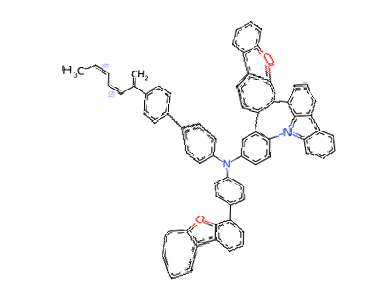 C=C(/C=C\C=C/C)c1ccc(-c2ccc(N(c3ccc(-c4cccc5c4oc4ccccc45)cc3)c3ccc4c(c3)-c3ccc5c(oc6ccccc65)c3-c3cccc5c6ccccc6n-4c35)cc2)cc1